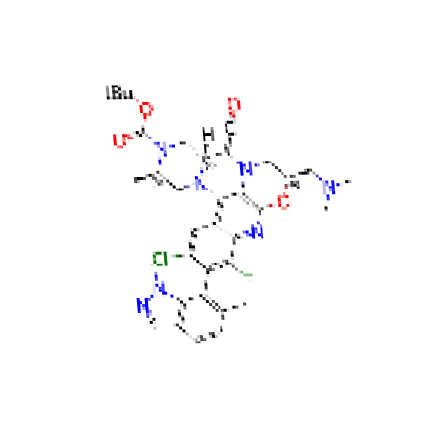 Cc1ccc2cnn(C)c2c1-c1c(Cl)cc2c3c4c(nc2c1F)O[C@H](CN(C)C)CN4C(=C=O)[C@H]1CN(C(=O)OC(C)(C)C)[C@H](C)CN31